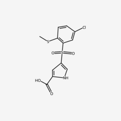 CSc1ccc(Cl)cc1S(=O)(=O)c1c[nH]c(C(=O)O)c1